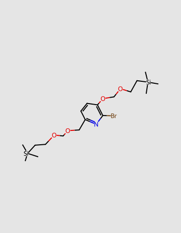 C[Si](C)(C)CCOCOCc1ccc(OCOCC[Si](C)(C)C)c(Br)n1